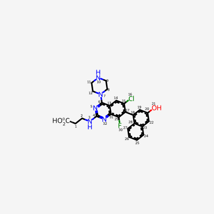 O=C(O)CCNc1nc(N2CCNCC2)c2cc(Cl)c(-c3cc(O)cc4ccccc34)c(F)c2n1